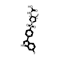 O=C(O)N[C@@H]1CN(S(=O)(=O)c2ccc(-c3c[nH]c4cc(F)ccc34)cc2)C[C@@H]1F